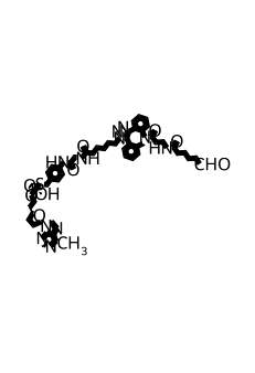 Cc1ncnc2c1ncn2[C@H]1CC[C@@H](CCO[P@@](=O)(O)SCc2ccc(NC(=O)CNC(=O)CCCCCn3nnc4c3-c3ccccc3CN(C(=O)CCNC(=O)CCCCC=O)c3ccccc3-4)cc2)O1